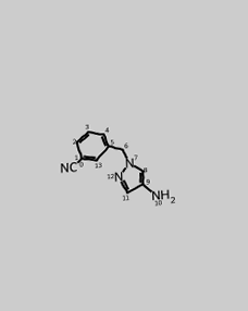 N#Cc1cccc(Cn2cc(N)cn2)c1